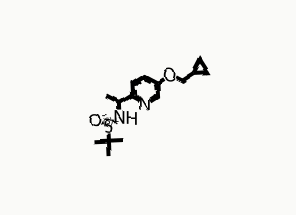 CC(N[S@+]([O-])C(C)(C)C)c1ccc(OCC2CC2)cn1